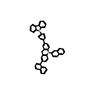 c1ccc2cc(N3c4ccc(-c5ccc(-n6c7ccccc7c7ccccc76)cc5)cc4Cc4cc(-c5cccc6ccccc56)ccc43)ccc2c1